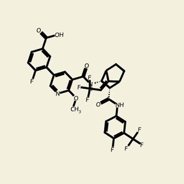 COc1ncc(-c2cc(C(=O)O)ccc2F)cc1C(=O)N[C@@H]1C2CCC(/C2=C/C(F)(F)F)[C@@H]1C(=O)Nc1ccc(F)c(C(F)(F)F)c1